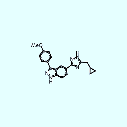 COc1ccc(-c2n[nH]c3ccc(-c4n[nH]c(CC5CC5)n4)cc23)cc1